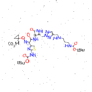 CC(C)(C)OC(=O)NCCCNCc1cnn(C[C@H]2NC(=O)[C@H]2NC(=O)/C(=N\OC2(C(=O)O)CC2)c2csc(NC(=O)OC(C)(C)C)n2)n1